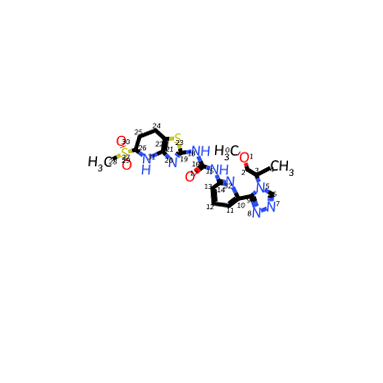 COCC(C)n1cnnc1-c1cccc(NC(=O)Nc2nc3c(s2)CCC(S(C)(=O)=O)N3)n1